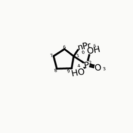 CCCC1(P(=O)(O)O)CCCC1